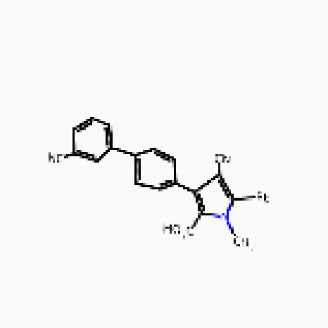 CCc1c(C#N)c(-c2ccc(-c3cccc(C#N)c3)cc2)c(C(=O)O)n1C